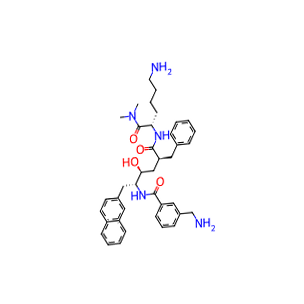 CN(C)C(=O)[C@H](CCCCN)NC(=O)[C@@H](Cc1ccccc1)C[C@H](O)[C@@H](Cc1ccc2ccccc2c1)NC(=O)c1cccc(CN)c1